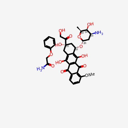 COc1cccc2c1C(=O)c1c(O)c3c(c(O)c1C2=O)C[C@@](O)(C(=O)CO)C[C@@H]3O[C@H]1C[C@H](N)[C@H](O)[C@H](C)O1.NC(=O)COc1ccccc1